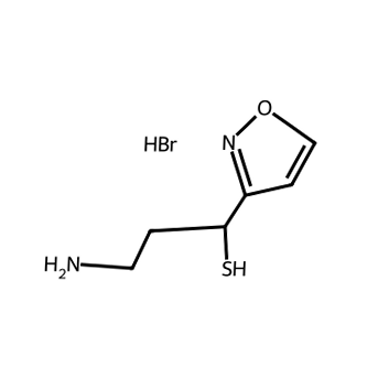 Br.NCCC(S)c1ccon1